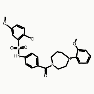 COc1ccc(Cl)c(S(=O)(=O)Nc2ccc(C(=O)N3CCCN(c4ccccc4OC)CC3)cc2)c1